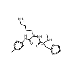 CN[C@@H](Cc1ccccc1)C(=O)N[C@@H](CCCCN)C(=O)Nc1ccc(C)cc1